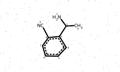 CC(N)c1ccccc1C#N